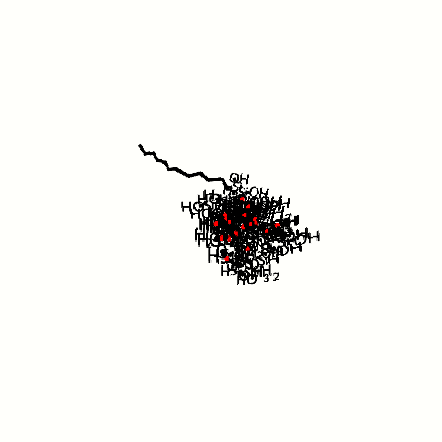 CCCCCCCCCCCC[Si](C)(O)O[Si](O[Si](O[Si](O[Si](C)(C)O[Si](C)(C)C)([Si](O[Si](O[SiH2]O)([SiH2]O)[SiH2]O)([Si](O[SiH2]O)([SiH2]O)[SiH2]O)[Si](O[SiH2]O)([SiH2]O)[SiH2]O)[Si](O[Si](O[SiH2]O)([SiH2]O)[SiH](C)O)([Si](O[Si](C)([SiH3])OC)([Si](O[SiH]=O)([SiH]=O)[SiH]=O)[Si](O[SiH2]O)([SiH2]O)[SiH2]O)[Si](O[Si](O[SiH2]O)([SiH2]O)[SiH2]O)([Si](O[SiH2]O)([SiH2]O)[SiH2]O)[Si](O[SiH2]O)([SiH2]O)[SiH2]O)([Si](O[SiH2]O)([SiH2]O)[SiH2]O)[Si](O[SiH2]O)([SiH2]O)[SiH2]O)([SiH2]O)[SiH2]O